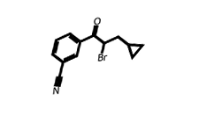 N#Cc1cccc(C(=O)C(Br)CC2CC2)c1